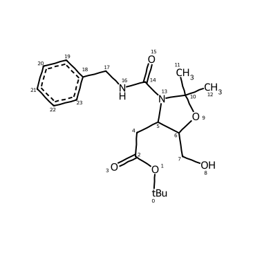 CC(C)(C)OC(=O)CC1C(CO)OC(C)(C)N1C(=O)NCc1ccccc1